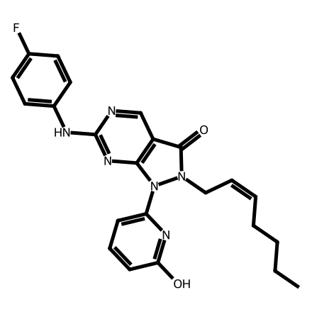 CCCC/C=C\Cn1c(=O)c2cnc(Nc3ccc(F)cc3)nc2n1-c1cccc(O)n1